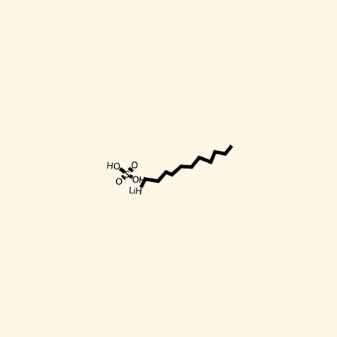 CCCCCCCCCCCC.O=S(=O)(O)O.[LiH]